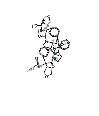 NC(=O)C1CCN2C(=O)C(NC(=O)O)(C3CCOC3)c3ccc(cc3)CC12N(c1ccccc1)[C@@]12Cc3ccc(cc3)[C@@](NC(=O)O)([C@H]3CCOC3)C(=O)N1CCC2C(N)=O